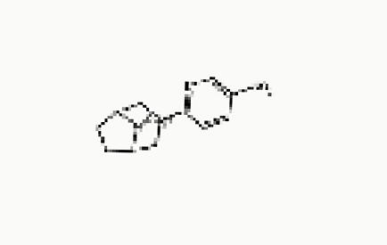 O=C(O)N1C2CCC1CN(c1ccc([N+](=O)[O-])cn1)C2